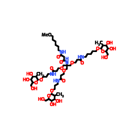 COCCCCCCNC(=O)CC(=O)NC(COCCC(=O)NCCCCCO[C@@H]1OC(CO)[C@H](O)[C@H](O)C1C)(COCCC(=O)NCCCO[C@@H]1OC(CO)[C@H](O)[C@H](O)C1C)COCCC(=O)NCCCO[C@@H]1OC(CO)[C@H](O)[C@H](O)C1C